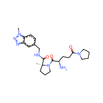 Cn1nnc2cc(CNC(=O)[C@]3(C)CCCN3C(=O)[C@H](N)CCC(=O)N3CCCC3)ccc21